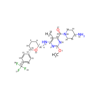 COc1nc(NC[C@H]2CCC[C@@H](c3ccc(C(F)(F)F)cc3)O2)c(C)c(C(=O)N2CCC(N)CC2)n1